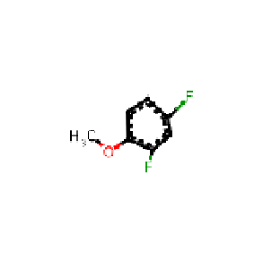 COc1c[c]c(F)cc1F